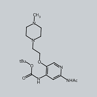 CC(=O)Nc1cc(NC(=O)OC(C)(C)C)c(OCCN2CCN(C)CC2)cn1